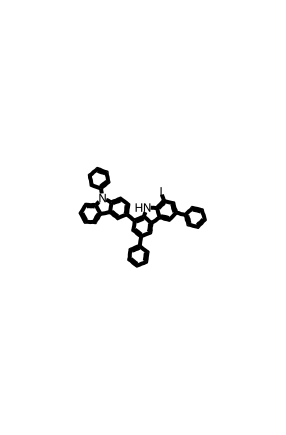 Ic1cc(-c2ccccc2)cc2c1[nH]c1c(-c3ccc4c(c3)c3ccccc3n4C3=CC=CCC3)cc(-c3ccccc3)cc12